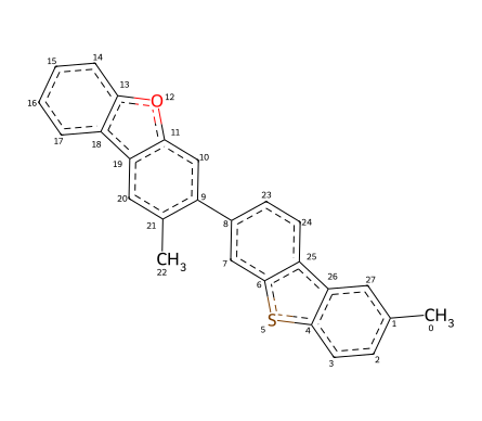 Cc1ccc2sc3cc(-c4cc5oc6ccccc6c5cc4C)ccc3c2c1